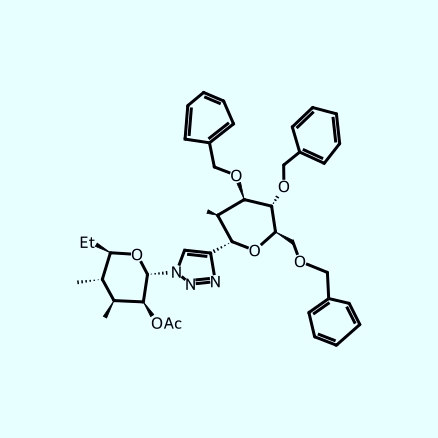 CC[C@H]1O[C@H](n2cc([C@H]3O[C@H](COCc4ccccc4)[C@@H](OCc4ccccc4)[C@H](OCc4ccccc4)[C@@H]3C)nn2)[C@@H](OC(C)=O)[C@@H](C)[C@@H]1C